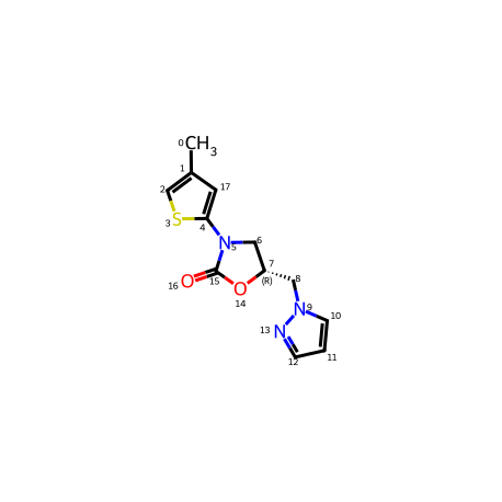 Cc1csc(N2C[C@H](Cn3cccn3)OC2=O)c1